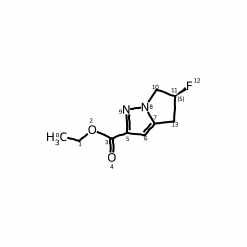 CCOC(=O)c1cc2n(n1)C[C@@H](F)C2